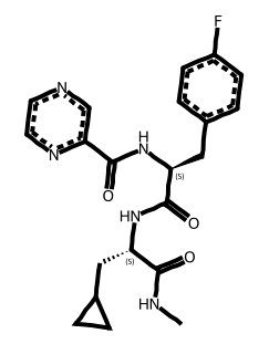 CNC(=O)[C@H](CC1CC1)NC(=O)[C@H](Cc1ccc(F)cc1)NC(=O)c1cnccn1